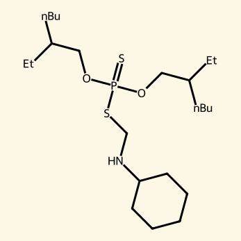 CCCCC(CC)COP(=S)(OCC(CC)CCCC)SCNC1CCCCC1